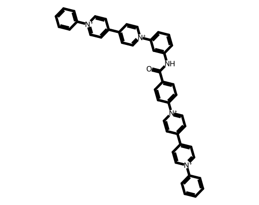 O=C(Nc1cccc(-[n+]2ccc(-c3cc[n+](-c4ccccc4)cc3)cc2)c1)c1ccc(-[n+]2ccc(-c3cc[n+](-c4ccccc4)cc3)cc2)cc1